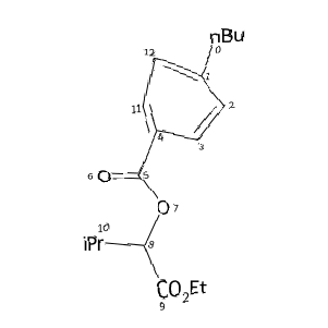 CCCCc1ccc(C(=O)OC(C(=O)OCC)C(C)C)cc1